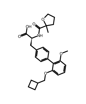 COc1cccc(OCC2CCC2)c1-c1ccc(C[C@H](NC(=O)C2(C)CCCO2)C(=O)O)cc1